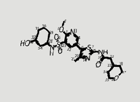 COc1ncc(-c2sc(NC(=O)CC3CCOCC3)nc2C)cc1S(=O)(=O)NC1CCCC(O)C1